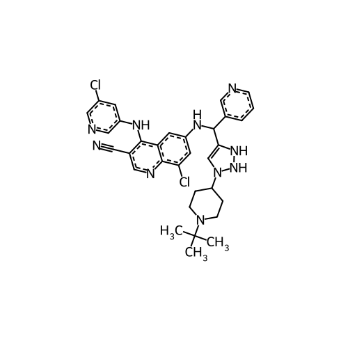 CC(C)(C)N1CCC(N2C=C(C(Nc3cc(Cl)c4ncc(C#N)c(Nc5cncc(Cl)c5)c4c3)c3cccnc3)NN2)CC1